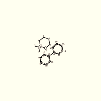 C[Si]1(C)CCCCO1.c1ccc(-c2ccccc2)cc1